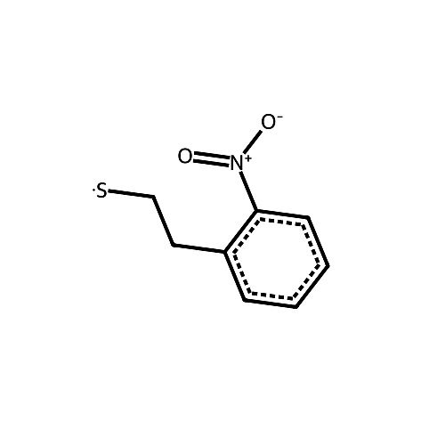 O=[N+]([O-])c1ccccc1CC[S]